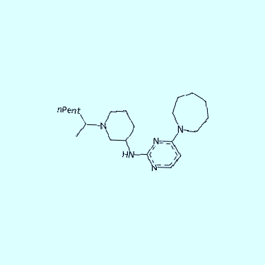 CCCCCC(C)N1CCCC(Nc2nccc(N3CCCCCC3)n2)C1